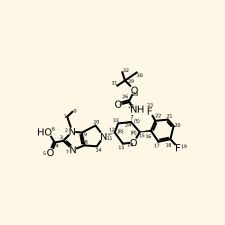 CCn1c(C(=O)O)nc2c1CN([C@H]1CO[C@H](c3cc(F)ccc3F)[C@@H](NC(=O)OC(C)(C)C)C1)C2